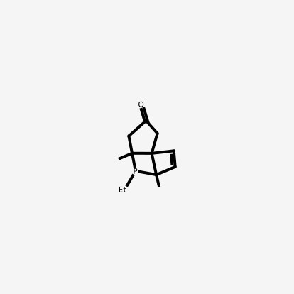 CCP1C2(C)C=CC23CC(=O)CC13C